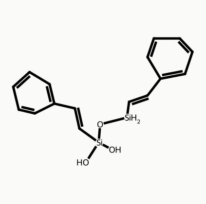 O[Si](O)(C=Cc1ccccc1)O[SiH2]C=Cc1ccccc1